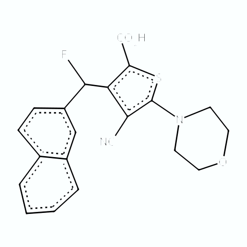 N#Cc1c(N2CCOCC2)sc(C(=O)O)c1C(F)c1ccc2ccccc2c1